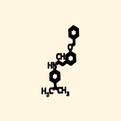 CC(C)c1ccc(N[C@H](C)Cc2cccc(OCc3ccccc3)c2)cc1